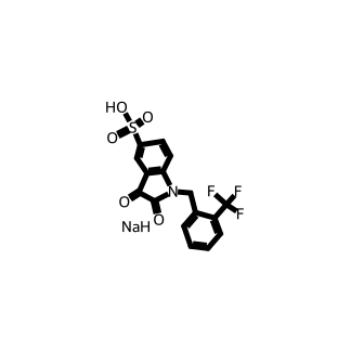 O=C1C(=O)N(Cc2ccccc2C(F)(F)F)c2ccc(S(=O)(=O)O)cc21.[NaH]